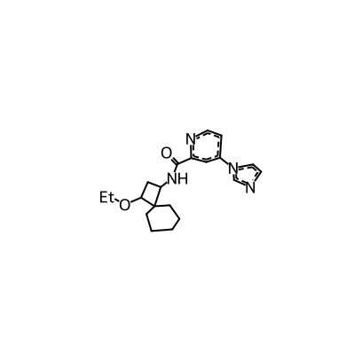 CCOC1CC(NC(=O)c2cc(-n3ccnc3)ccn2)C12CCCCC2